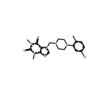 Cc1ccc(Cl)cc1N1CCN(Cn2cnc3c2c(=O)n(C)c(=O)n3C)CC1